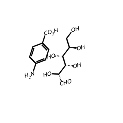 Nc1ccc(C(=O)O)cc1.O=C[C@H](O)[C@@H](O)[C@H](O)[C@H](O)CO